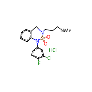 CNCCCN1Cc2ccccc2N(c2ccc(F)c(Cl)c2)S1(=O)=O.Cl